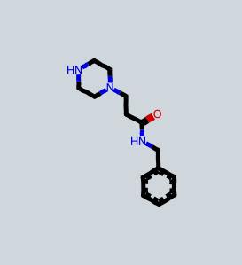 O=C(CCN1CCNCC1)NCc1ccccc1